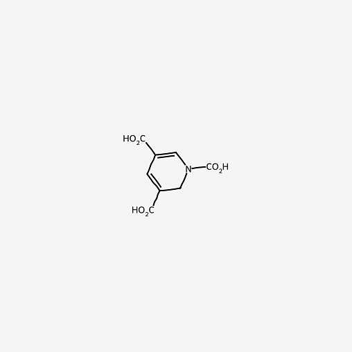 O=C(O)C1=CN(C(=O)O)CC(C(=O)O)=C1